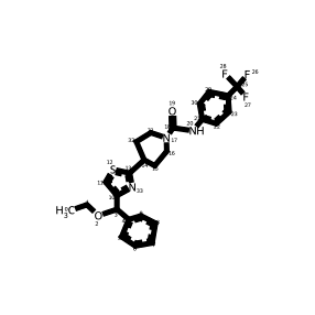 CCOC(c1ccccc1)c1csc(C2CCN(C(=O)Nc3ccc(C(F)(F)F)cc3)CC2)n1